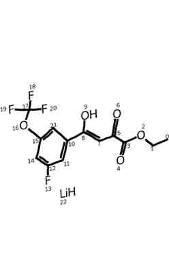 CCOC(=O)C(=O)C=C(O)c1cc(F)cc(OC(F)(F)F)c1.[LiH]